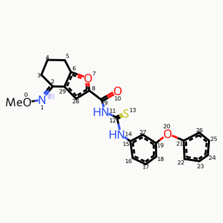 CO/N=C1\CCCc2oc(C(=O)NC(=S)Nc3cccc(Oc4ccccc4)c3)cc21